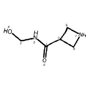 O=C(NCO)C1CNC1